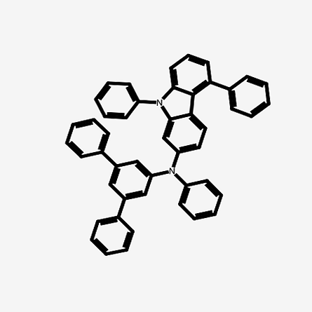 c1ccc(-c2cc(-c3ccccc3)cc(N(c3ccccc3)c3ccc4c5c(-c6ccccc6)cccc5n(-c5ccccc5)c4c3)c2)cc1